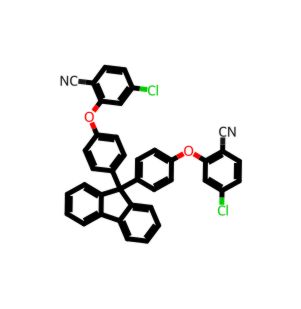 N#Cc1ccc(Cl)cc1Oc1ccc(C2(c3ccc(Oc4cc(Cl)ccc4C#N)cc3)c3ccccc3-c3ccccc32)cc1